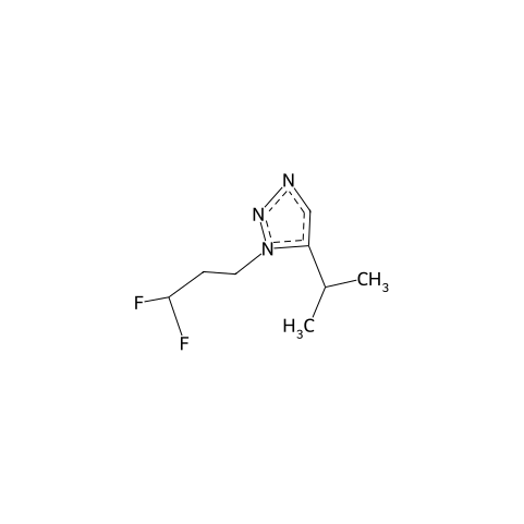 CC(C)c1cnnn1CCC(F)F